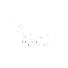 COc1cc(-c2cccc(-c3cccc(NCc4cc(OC)c(CNC5CCC(C(=O)O)CC5)cc4Cl)c3C=N)c2Cl)ccc1CNC[C@@H]1CCC(=O)N1